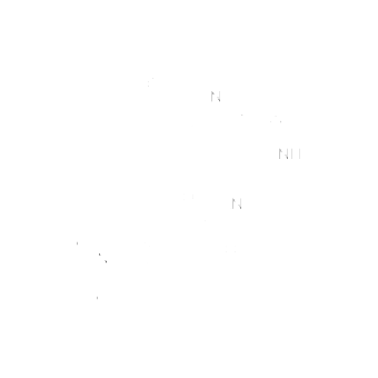 O=C1CC2COCC(C1)N2C[C@H]1CN(S(=O)(=O)c2ccc([N+](=O)[O-])s2)CCN1